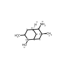 CC1C[C@@H]2CC(C[C@H](C)C2N)N1O